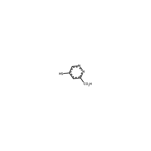 O=C(O)c1cc(S)cnn1